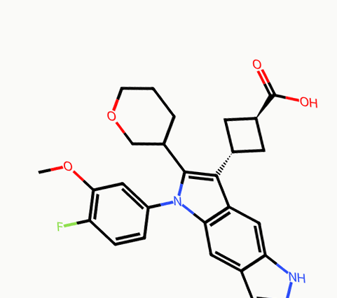 COc1cc(-n2c(C3CCCOC3)c([C@H]3C[C@H](C(=O)O)C3)c3cc4[nH]ncc4cc32)ccc1F